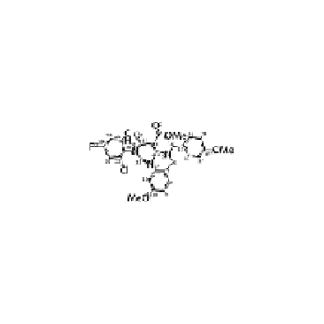 COC(=O)c1c(N(Cc2ccc(OC)cc2)Cc2ccc(OC)cc2)ncn(-c2c(C)cc(F)cc2Cl)c1=O